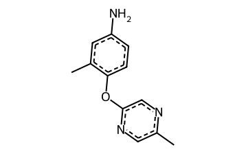 Cc1cnc(Oc2ccc(N)cc2C)cn1